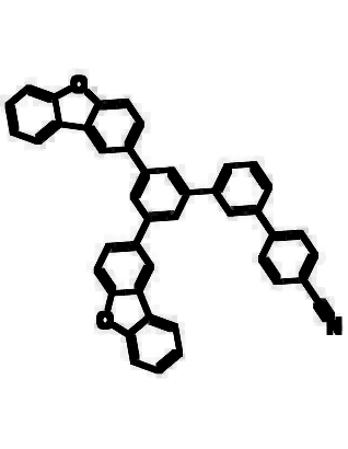 N#Cc1ccc(-c2cccc(-c3cc(-c4ccc5oc6ccccc6c5c4)cc(-c4ccc5oc6ccccc6c5c4)c3)c2)cc1